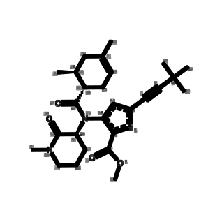 COC(=O)c1sc(C#CC(C)(C)C)cc1N(C(=O)[C@H]1CC=C(C)C[C@@H]1C)[C@H]1CCCN(C)C1=O